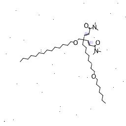 CCCCCCCCCCCCCCOCC(/C=C/C(=O)N(C)C)(/C=C/C(=O)N(C)C)CCCCCCCCOCCCCCCC